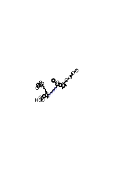 COCCOCCOCCOCCN1c2cc3c(cc2C(C)=CC1(C)C)C(/C=C/C=C/C=C/C=C1\N(CCCCCC(=O)ON2C(=O)CCC2=O)c2ccc(S(=O)(=O)O)cc2C1(C)C)=CC(c1ccccc1)O3